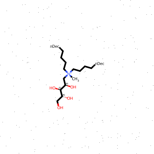 CCCCCCCCCCCCCC[N+](C)(CCCCCCCCCCCCCC)C[C@@H](O)[C@H](O)[C@H](O)CO